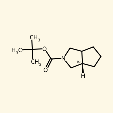 CC(C)(C)OC(=O)N1CC2CCC[C@@H]2C1